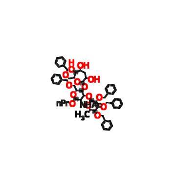 CCCO[C@@H]1OC(COCc2ccccc2)[C@@H](O[C@@H]2OC(COCc3ccccc3)[C@H](O)C(O)CC2O)C(O[C@@H]2OC(C)[C@@H](OCc3ccccc3)C(OCc3ccccc3)C2OCc2ccccc2)C1NC(C)=O